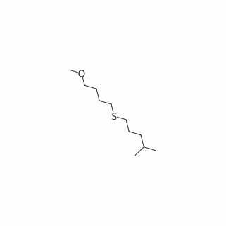 COCCCCSCCCC(C)C